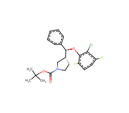 CC(C)(C)OC(=O)N1CC[C@@H]([C@H](Oc2c(F)ccc(F)c2Cl)c2ccccc2)C1